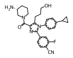 N#Cc1ccc(-c2nc(C(=O)N3CCC[C@@H](N)C3)c(CCCO)n2-c2ccc(C3CC3)cc2)cc1F